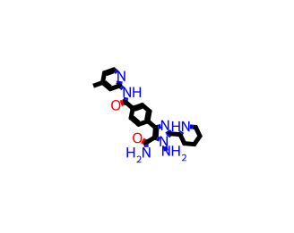 Cc1ccnc(NC(=O)c2ccc(-c3nc(C4CCCCN4)n(N)c3C(N)=O)cc2)c1